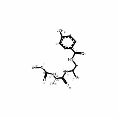 Cc1ccc(C(=O)NCC(NC(=O)[C@@H](NC(=O)OC(C)C)C(C)C)C(C)C)cc1